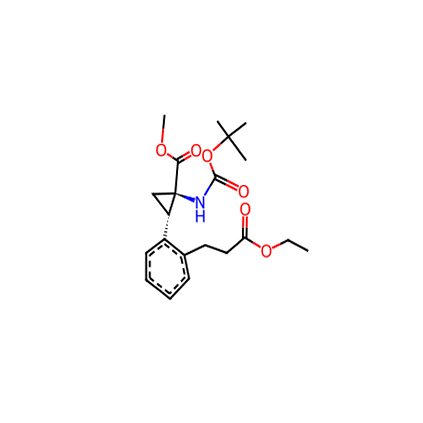 CCOC(=O)CCc1ccccc1[C@@H]1C[C@]1(NC(=O)OC(C)(C)C)C(=O)OC